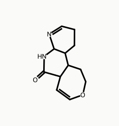 O=C1NC2N=CCCC2C2CCOC=CC12